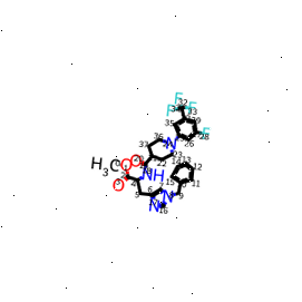 COC(=O)C(Cc1cn(Cc2ccccc2)cn1)NC(=O)C1CCN(c2cc(F)cc(C(F)(F)F)c2)CC1